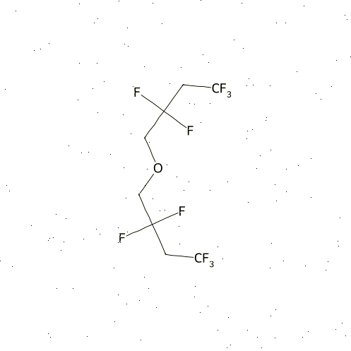 FC(F)(F)CC(F)(F)COCC(F)(F)CC(F)(F)F